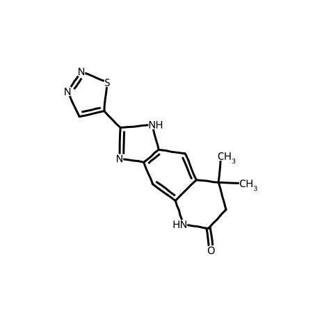 CC1(C)CC(=O)Nc2cc3nc(-c4cnns4)[nH]c3cc21